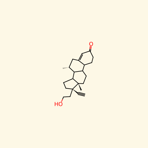 C#C[C@@]1(CCO)CCC2C3C(CC[C@@]21C)C1CCC(=O)C=C1C[C@H]3C